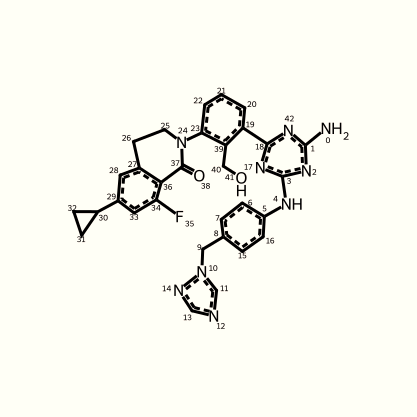 Nc1nc(Nc2ccc(Cn3cncn3)cc2)nc(-c2cccc(N3CCc4cc(C5CC5)cc(F)c4C3=O)c2CO)n1